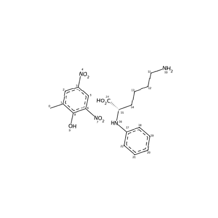 Cc1cc([N+](=O)[O-])cc([N+](=O)[O-])c1O.NCCCC[C@H](Nc1ccccc1)C(=O)O